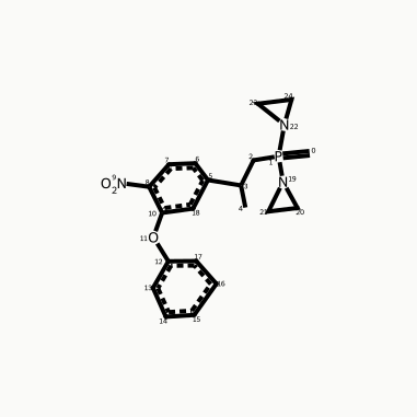 C=P(CC(C)c1ccc([N+](=O)[O-])c(Oc2ccccc2)c1)(N1CC1)N1CC1